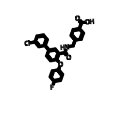 O=C(O)c1ccc(CNC(=O)c2cc(-c3cccc(Cl)c3)ccc2Oc2ccc(F)cc2)cc1